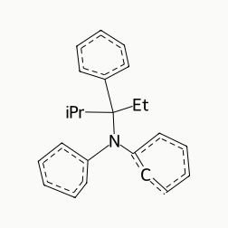 CCC(c1ccccc1)(C(C)C)N(c1ccccc1)c1ccccc1